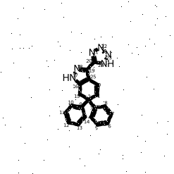 C1=CC(c2ccccc2)(c2ccccc2)Cc2[nH]nc(-c3nnn[nH]3)c21